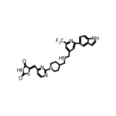 O=C1NC(=O)/C(=C/c2ccnc(N3CCC(CNCc4cc(-c5ccc6[nH]ccc6c5)nc(C(F)(F)F)c4)CC3)n2)S1